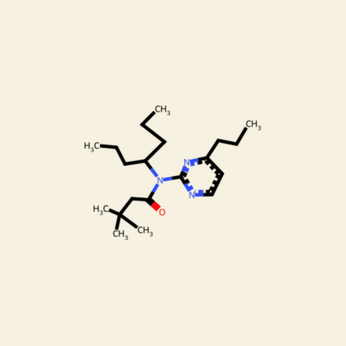 CCCc1ccnc(N(C(=O)CC(C)(C)C)C(CCC)CCC)n1